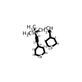 C#CC1CCSCC1.C[Si](C)(C)C#CC1CCSCC1